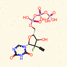 C#C[C@@]1(F)C(O)[C@@H](COP(=O)(O)OP(=O)(O)OP(=O)(O)O)O[C@H]1n1cnc(=O)[nH]c1=O